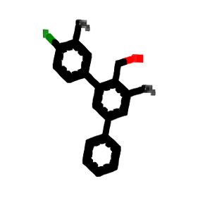 Cc1cc(-c2cc(-c3ccccc3)cc(C)c2CO)ccc1F